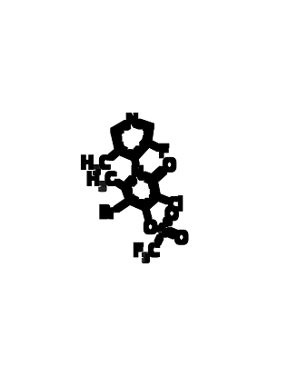 Cc1cncc(F)c1-n1c(C)c(Br)c(OS(=O)(=O)C(F)(F)F)c(Cl)c1=O